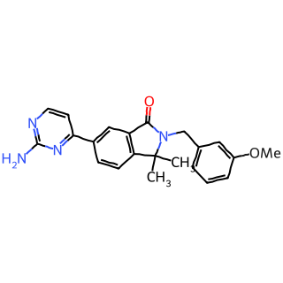 COc1cccc(CN2C(=O)c3cc(-c4ccnc(N)n4)ccc3C2(C)C)c1